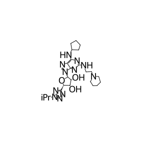 CC(C)n1nnc([C@H]2O[C@@H](n3cnc4c(NC5CCCC5)nc(NCCN5CCCCC5)nc43)[C@H](O)[C@@H]2O)n1